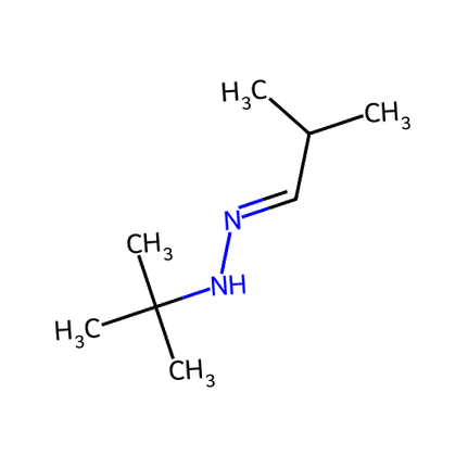 CC(C)C=NNC(C)(C)C